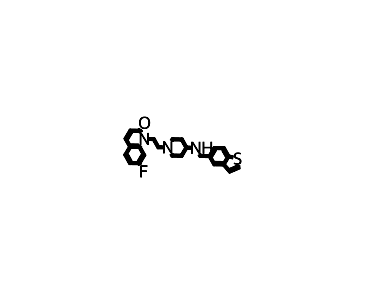 O=c1ccc2ccc(F)cc2n1CCN1CCC(NCc2ccc3sccc3c2)CC1